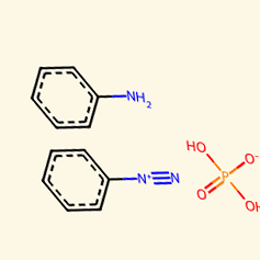 N#[N+]c1ccccc1.Nc1ccccc1.O=P([O-])(O)O